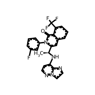 C[C@H](Nc1ccnn2ccnc12)c1cc2cccc(C(F)(F)F)c2c(=O)n1-c1cccc(F)c1